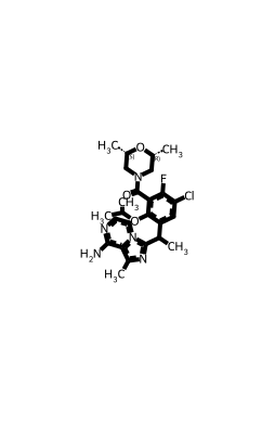 Cc1nc(C(C)c2cc(Cl)c(F)c(C(=O)N3C[C@@H](C)O[C@@H](C)C3)c2OC(C)C)n2ccnc(N)c12